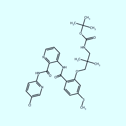 CSc1ccc(C(=O)Nc2cccnc2C(=O)Nc2ccc(Cl)cn2)c(OCC(C)(C)CNC(=O)OC(C)(C)C)c1